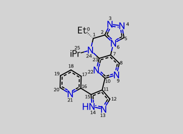 CC[C@@H]1c2nncn2-c2cnc(-c3cn[nH]c3-c3ccccn3)nc2N1C(C)C